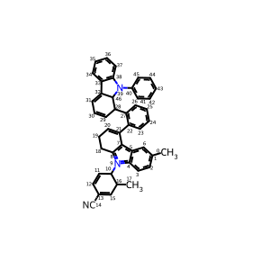 Cc1ccc2c(c1)c1c(n2C2C=CC(C#N)=CC2C)CCC=C1c1ccccc1C1C=CC=C2c3ccccc3N(c3ccccc3)C21